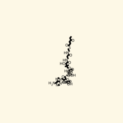 CCC(=O)C=CC(=O)SCCNC(=O)CCNC(=O)[C@H](O)C(C)(C)COP(=O)(O)OP(=O)(O)OC[C@H]1O[C@@H](n2cnc3c(N)ncnc32)[C@H](O)[C@@H]1OP(=O)(O)O